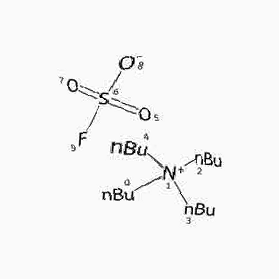 CCCC[N+](CCCC)(CCCC)CCCC.O=S(=O)([O-])F